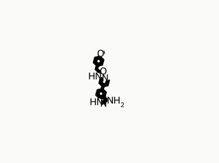 COc1ccc(CC(=O)Nc2cc(-c3ccc4[nH]nc(N)c4c3)ccn2)cc1